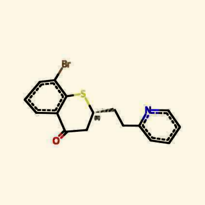 O=C1C[C@@H](CCc2ccccn2)Sc2c(Br)cccc21